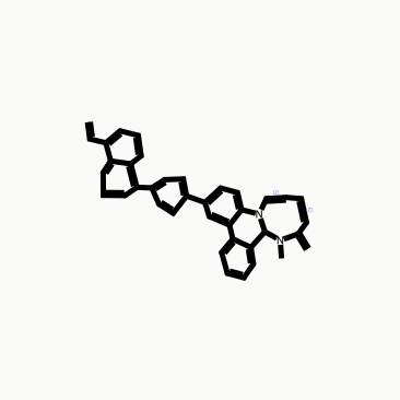 C=Cc1cccc2c(-c3ccc(-c4ccc5c(c4)-c4ccccc4C4N(C)C(=C)/C=C\C=C/N54)cc3)cccc12